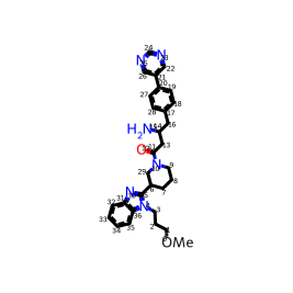 COCCCn1c(C2CCCN(C(=O)CC(N)Cc3ccc(-c4cncnc4)cc3)C2)nc2ccccc21